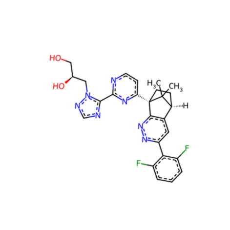 CC1(C)[C@H]2CC[C@]1(c1ccnc(-c3ncnn3C[C@@H](O)CO)n1)c1nnc(-c3c(F)cccc3F)cc12